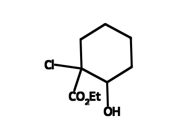 CCOC(=O)C1(Cl)CCCCC1O